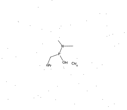 C.CCCCP(O)N(C)C